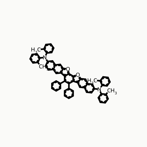 Cc1ccccc1N(c1ccc2cc3c(cc2c1)oc1c2oc4cc5cc(N(c6ccccc6C)c6ccccc6C)ccc5cc4c2c(-c2ccccc2)c(-c2ccccc2)c31)c1ccccc1C